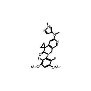 COc1cc(OC)c(F)c(N2Cc3cnc(N(C)c4cnn(C)c4)cc3C3(CC3)C2=O)c1F